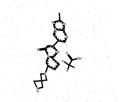 Cc1nc2ncc(-c3cc(=O)n4cc(N5CC6(CNC6)C5)ccc4n3)cn2n1.O=C(O)C(F)(F)F